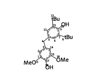 COc1cc(Cc2cc(C(C)(C)C)c(O)c(C(C)(C)C)c2)cc(OC)c1O